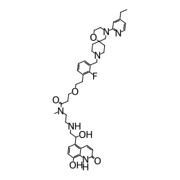 CCc1ccnc(N2CCOC3(CCN(Cc4cccc(CCOCCC(=O)N(C)CCNCC(O)c5ccc(O)c6[nH]c(=O)ccc56)c4F)CC3)C2)c1